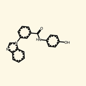 O=C(Nc1ccc(O)cc1)c1cccc(-n2cnc3ccccc32)c1